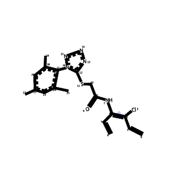 C=C/C(Cl)=C(\C=C)NC(=O)CSc1nnnn1-c1c(C)cc(C)cc1C